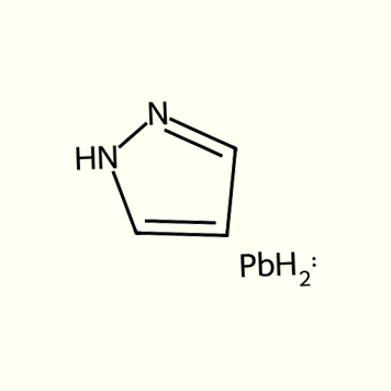 [PbH2].c1cn[nH]c1